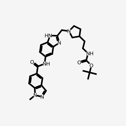 Cn1ncc2cc(C(=O)Nc3ccc4[nH]c(CN5CCC(CCNC(=O)OC(C)(C)C)C5)nc4c3)ccc21